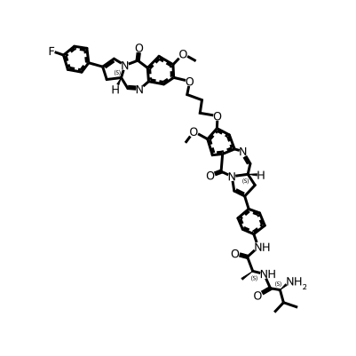 COc1cc2c(cc1OCCCOc1cc3c(cc1OC)C(=O)N1C=C(c4ccc(NC(=O)[C@H](C)NC(=O)[C@@H](N)C(C)C)cc4)C[C@H]1C=N3)N=C[C@@H]1CC(c3ccc(F)cc3)=CN1C2=O